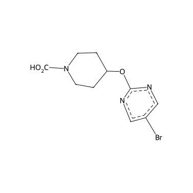 O=C(O)N1CCC(Oc2ncc(Br)cn2)CC1